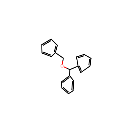 c1ccc(COC(c2ccccc2)c2ccccc2)cc1